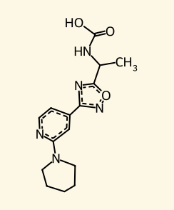 CC(NC(=O)O)c1nc(-c2ccnc(N3CCCCC3)c2)no1